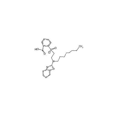 CCCCCCCCN(CCS(=O)(=O)c1ccccc1C(=O)O)c1nc2ccccc2o1